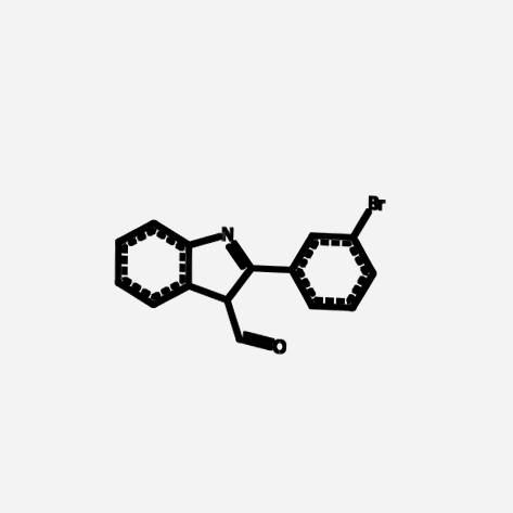 O=CC1C(c2cccc(Br)c2)=Nc2ccccc21